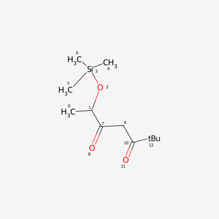 CC(O[Si](C)(C)C)C(=O)CC(=O)C(C)(C)C